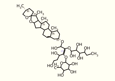 CCC(O)C(O)C(O)C(O)O/C(=C(\OC1OC(C)C(O)C(O)C1O)C(O)CCO)C(O)O[C@H]1CC[C@@]2(C)C(=CCC3C4CC5OC6(CC[C@@H](C)CO6)[C@@H](C)C5[C@@]4(C)CCC32)C1